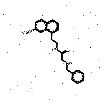 COc1ccc2cccc(CCNC(=O)CNCc3ccccc3)c2c1